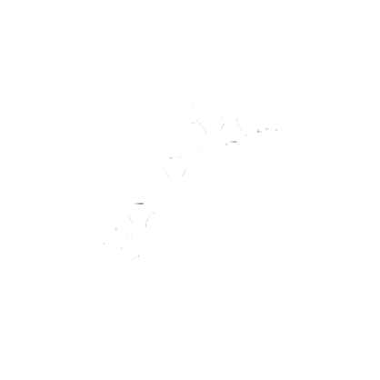 CCOC(=O)CC1(c2ccc(OCc3ccc(OCC(=NOC)c4ccc(C#N)cc4)cc3)cc2)COC1